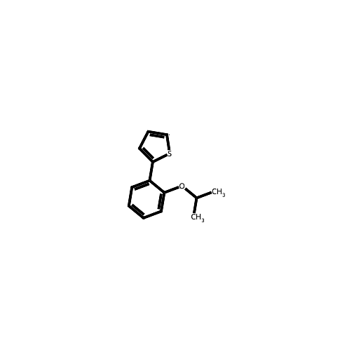 CC(C)Oc1ccccc1-c1cc[c]s1